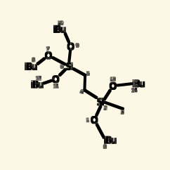 CCC(C)O[Si](C)(CC[Si](OC(C)CC)(OC(C)CC)OC(C)CC)OC(C)CC